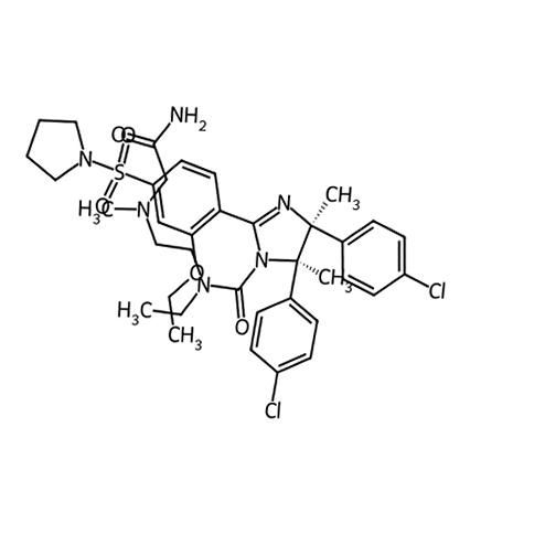 CCOc1cc(S(=O)(=O)N2CCCC2)ccc1C1=N[C@@](C)(c2ccc(Cl)cc2)[C@@](C)(c2ccc(Cl)cc2)N1C(=O)N(CC)CCN(C)CC(N)=O